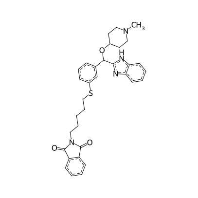 CN1CCC(OC(c2cccc(SCCCCCN3C(=O)c4ccccc4C3=O)c2)c2nc3ccccc3[nH]2)CC1